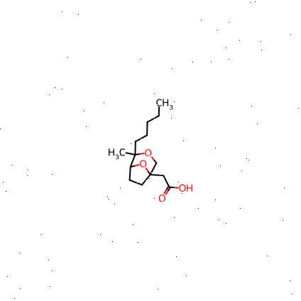 CCCCCC1(C)OCC2(CC(=O)O)CCC1O2